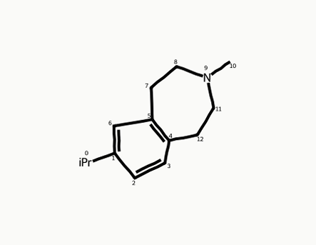 CC(C)c1ccc2c(c1)CCN(C)CC2